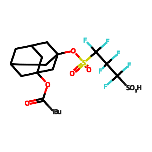 CCC(C)C(=O)OC12CC3CC(C1)CC(OS(=O)(=O)C(F)(F)C(F)(F)C(F)(F)S(=O)(=O)O)(C3)C2